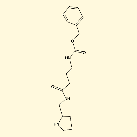 O=C(CCCNC(=O)OCc1ccccc1)NCC1CCCN1